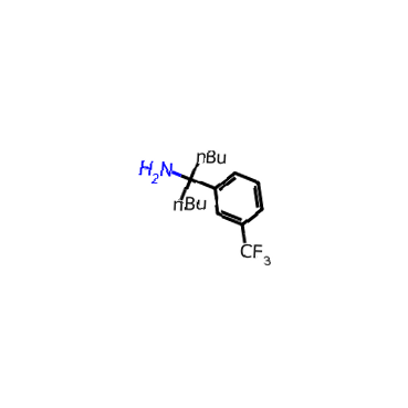 CCCCC(N)(CCCC)c1cccc(C(F)(F)F)c1